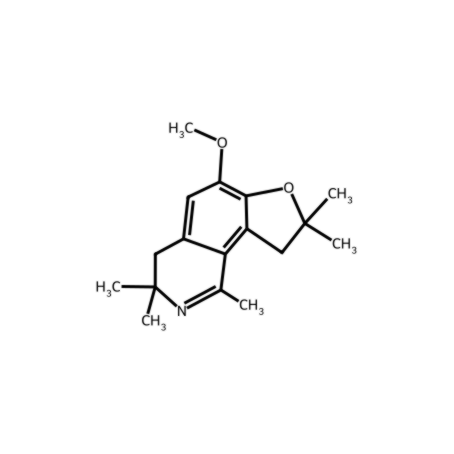 COc1cc2c(c3c1OC(C)(C)C3)C(C)=NC(C)(C)C2